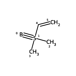 B#S(C)(C)C=C